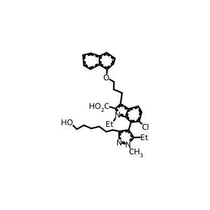 CCc1c(-c2c(Cl)ccc3c(CCCOc4cccc5ccccc45)c(C(=O)O)n(CC)c23)c(CCCCCCO)nn1C